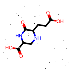 O=C(O)CCC1NCC(C(=O)O)NC1=O